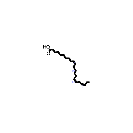 CC/C=C\C/C=C\C/C=C/C/C=C\CCCCCCC=CC(=O)O